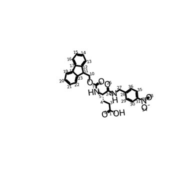 O=C(O)CC[C@H](NC(=O)OCC1c2ccccc2-c2ccccc21)C(=O)NCc1ccc([N+](=O)[O-])cc1